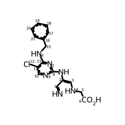 N=C/C(=C\NCC(=O)O)Nc1ncc(Cl)c(NCc2ccccc2)n1